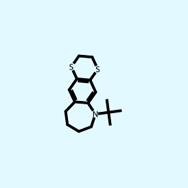 CC(C)(C)N1CCCCc2cc3c(cc21)SCCS3